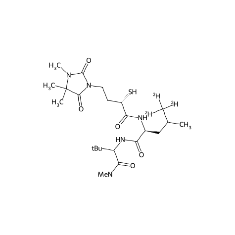 [2H]C([2H])([2H])C(C)C[C@H](NC(=O)[C@@H](S)CCN1C(=O)N(C)C(C)(C)C1=O)C(=O)NC(C(=O)NC)C(C)(C)C